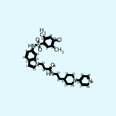 Cc1cc(S(=O)(=O)Nc2ccc3ccn(CCC(=O)NCCC4CCN(c5ccncc5)CC4)c3c2)c(C)cc1Cl